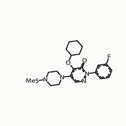 CSN1CCN(c2cnn(-c3cccc(F)c3)c(=O)c2OC2CCCCC2)CC1